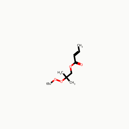 C/C=C/C(=O)OCC(C)(C)OOC(C)(C)C